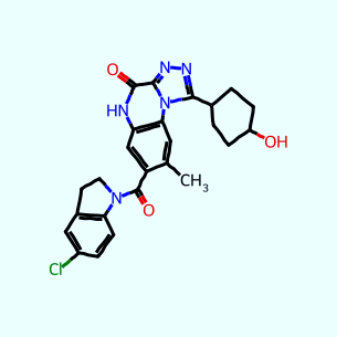 Cc1cc2c(cc1C(=O)N1CCc3cc(Cl)ccc31)[nH]c(=O)c1nnc(C3CCC(O)CC3)n12